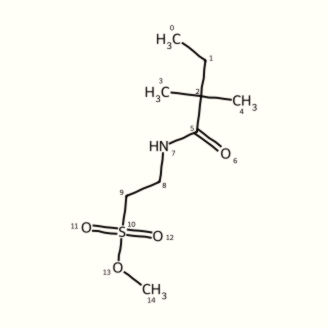 CCC(C)(C)C(=O)NCCS(=O)(=O)OC